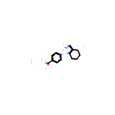 NC(=O)c1ccc(-n2ncc3c2CCCC3=O)cc1